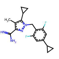 Cc1c(C(=N)N)nn(Cc2c(F)cc(C3CC3)cc2F)c1C1CC1